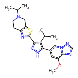 COc1cc(-c2[nH]nc(-c3nc4c(s3)CN(C(C)C)CC4)c2C(C)C)cn2ncnc12